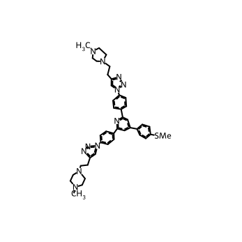 CSc1ccc(-c2cc(-c3ccc(-n4cc(CCN5CCN(C)CC5)nn4)cc3)nc(-c3ccc(-n4cc(CCN5CCN(C)CC5)nn4)cc3)c2)cc1